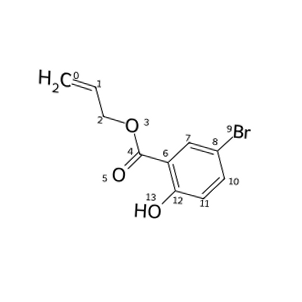 C=CCOC(=O)c1cc(Br)ccc1O